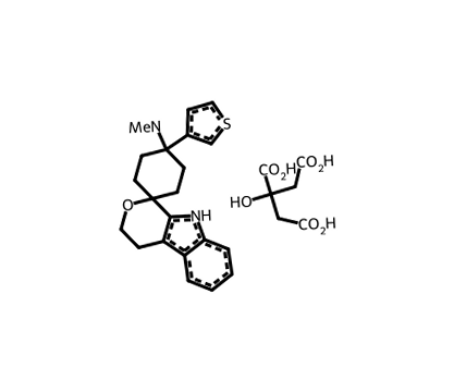 CNC1(c2ccsc2)CCC2(CC1)OCCc1c2[nH]c2ccccc12.O=C(O)CC(O)(CC(=O)O)C(=O)O